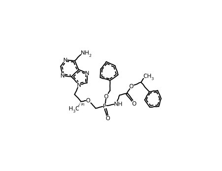 CC(OC(=O)CNP(=O)(CO[C@H](C)Cn1cnc2c(N)ncnc21)OCc1ccccc1)c1ccccc1